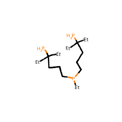 CCP(CCCC(P)(CC)CC)CCCC(P)(CC)CC